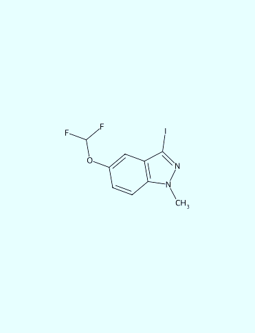 Cn1nc(I)c2cc(OC(F)F)ccc21